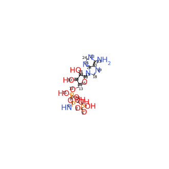 N=P(O)(OP(=O)(O)O)OP(=O)(O)OC[C@H]1O[C@@H](n2cnc3c(N)ncnc32)[C@H](O)[C@@H]1O